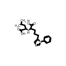 CC(C)CC(NC(CCCc1cncn1-c1ccccc1)C(=O)O)C(=O)O